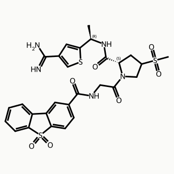 C[C@@H](NC(=O)[C@@H]1CC(S(C)(=O)=O)CN1C(=O)CNC(=O)c1ccc2c(c1)-c1ccccc1S2(=O)=O)c1cc(C(=N)N)cs1